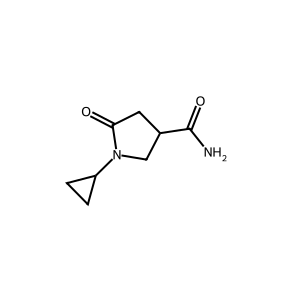 NC(=O)C1CC(=O)N(C2CC2)C1